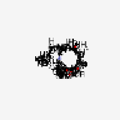 CC(=O)N[C@@H](CC(C)C)C(=O)N[C@H](C(=O)C(=O)[C@H](Cc1ccccc1)NN[C@]1(C)CCCCCC/C=C/CCC[C@@](C)(C(=O)CN[C@@H](C)C(=O)CCN[C@@H](C)C(=O)CCN[C@@H](C)C(=O)CCN[C@@H](C)C(=O)CCC(=O)[C@H](C)NCN(C)CC(N)=O)NC(=O)[C@H](CC(C)C)NN[C@@H](CCC(N)=O)C(=O)CN[C@@H](C)C(=O)CC(=O)[C@H](Cc2c[nH]c3ccccc23)NN[C@@H](Cc2ccc(O)cc2)C(=O)N[C@@H](CCC(=O)O)C(=O)C1=O)[C@@H](C)O